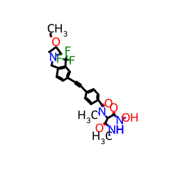 CCOC1CN(Cc2ccc(C#Cc3ccc(C(=O)N(C)C(C(=O)NC)C(=O)NO)cc3)cc2C(F)(F)F)C1